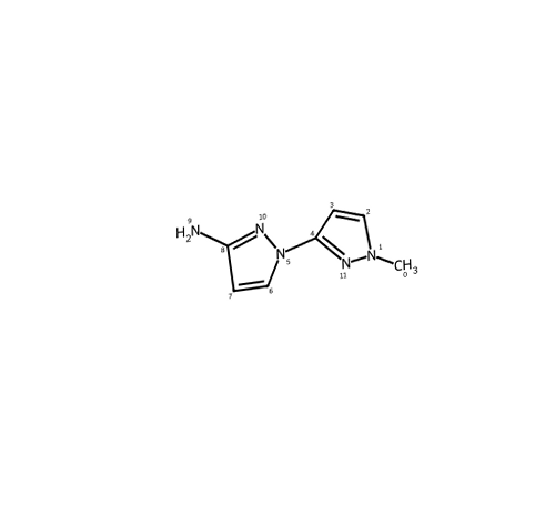 Cn1ccc(-n2ccc(N)n2)n1